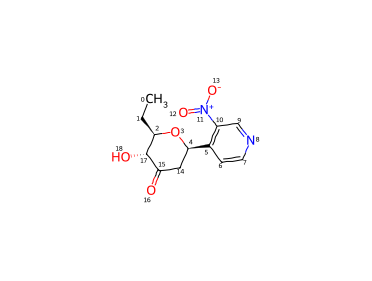 CC[C@H]1O[C@@H](c2ccncc2[N+](=O)[O-])CC(=O)[C@@H]1O